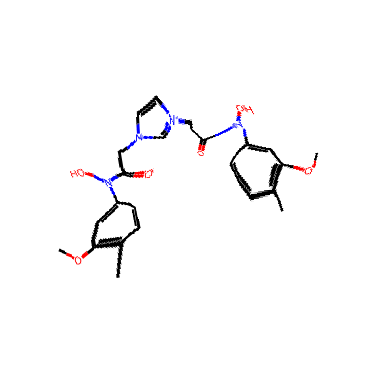 COc1cc(N(O)C(=O)Cn2cc[n+](CC(=O)N(O)c3ccc(C)c(OC)c3)c2)ccc1C